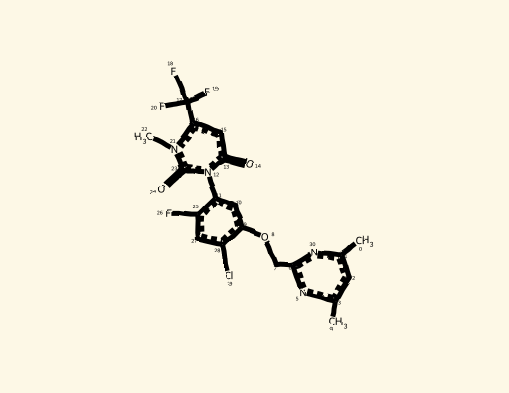 Cc1cc(C)nc(COc2cc(-n3c(=O)cc(C(F)(F)F)n(C)c3=O)c(F)cc2Cl)n1